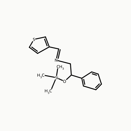 C[Si](C)(C)OC(CN=Cc1ccsc1)c1ccccc1